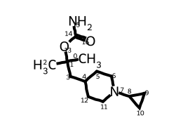 CC(C)(CC1CCN(C2CC2)CC1)OC(N)=O